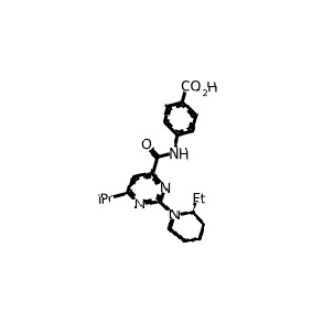 CC[C@H]1CCCCN1c1nc(C(=O)Nc2ccc(C(=O)O)cc2)cc(C(C)C)n1